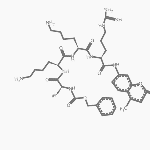 CC(C)[C@H](NC(=O)OCc1ccccc1)C(=O)N[C@@H](CCCCN)C(=O)N[C@@H](CCCCN)C(=O)N[C@@H](CCCNC(=N)N)C(=O)Nc1ccc2c(C(F)(F)F)cc(=O)oc2c1